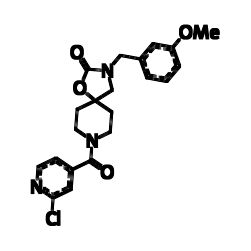 COc1cccc(CN2CC3(CCN(C(=O)c4ccnc(Cl)c4)CC3)OC2=O)c1